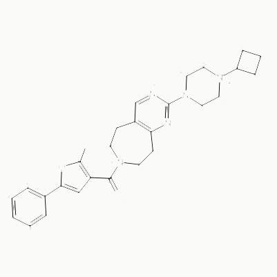 Cc1oc(-c2ccccc2)cc1C(=O)N1CCc2cnc(N3CCN(C4CCC4)CC3)nc2CC1